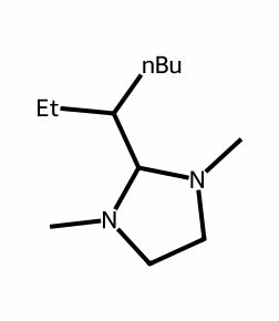 CCCCC(CC)C1N(C)CCN1C